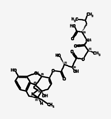 CC(C)C[C@H](NC(=O)[C@H](C)OC(=O)[C@H](O)[C@@H](O)C(=O)OC1=CC[C@@]2(O)[C@H]3Cc4ccc(O)c5c4[C@@]2(CCN3C)[C@H]1O5)C(=O)O